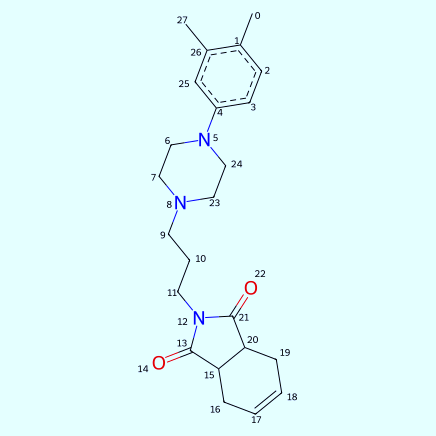 Cc1ccc(N2CCN(CCCN3C(=O)C4CC=CCC4C3=O)CC2)cc1C